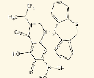 CC(N1CN([C@H]2c3ccccc3CSc3ccccc32)n2cc(B(O)O)c(=O)c(O)c2C1=O)C(F)(F)F